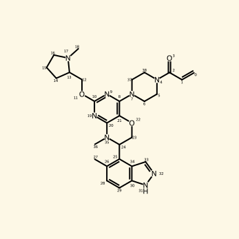 C=CC(=O)N1CCN(c2nc(OCC3CCCN3C)nc3c2OCC(c2c(C)ccc4[nH]ncc24)N3C)CC1